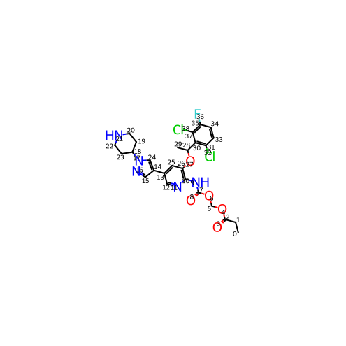 CCC(=O)OCOC(=O)Nc1ncc(-c2cnn(C3CCNCC3)c2)cc1OC(C)c1c(Cl)ccc(F)c1Cl